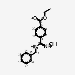 CCOC(=O)c1ccc(C(=N)NCc2ccccc2)cc1.Cl